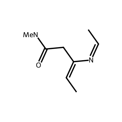 C/C=N\C(=C/C)CC(=O)NC